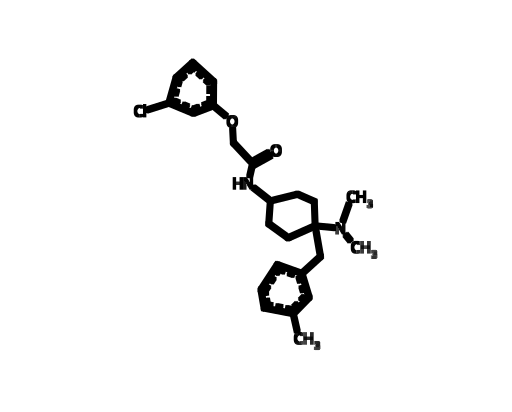 Cc1cccc(CC2(N(C)C)CCC(NC(=O)COc3cccc(Cl)c3)CC2)c1